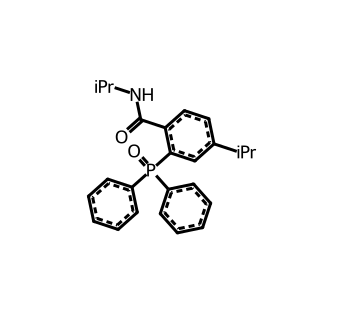 CC(C)NC(=O)c1ccc(C(C)C)cc1P(=O)(c1ccccc1)c1ccccc1